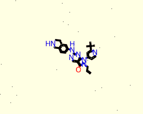 C=CCn1c(=O)c2cnc(Nc3ccc4c(c3)CCNC4)nc2n1-c1ccnc(C(C)(C)C)c1